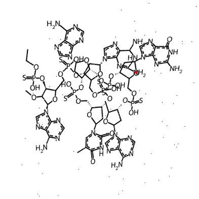 CCOP(O)(=S)O[C@H]1C(COP(O)(=S)O[C@@H]2C[C@H](n3cnc4c3N=C(N)NC4N)OC2COP(O)(=S)O[C@@H]2CC(n3cc(C)c(=O)[nH]c3=O)O[C@@H]2COP(O)(=S)O[C@@H]2C[C@H](n3cnc4c(N)ncnc43)O[C@@H]2COP(O)(=S)O[C@@H]2CC(n3cnc4c(=O)[nH]c(N)nc43)OC2COP(O)(=S)O[C@@H]2CC(n3cnc4c(N)ncnc43)OC2C)O[C@@H](n2cnc3c(N)ncnc32)C1OC